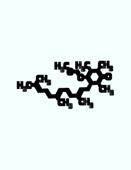 COCO[C@H]1[C@H](C)[C@H](C)C(=O)[C@H](C)[C@H]1C/C=C(\C)CC/C=C(\C)CCC=C(C)C